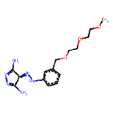 COCCOCCOCc1cccc(NN=C2C(N)=NN=C2N)c1